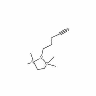 C[Si]1(C)CC[Si](C)(C)N1CCCC#N